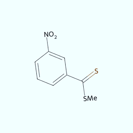 CSC(=S)c1cccc([N+](=O)[O-])c1